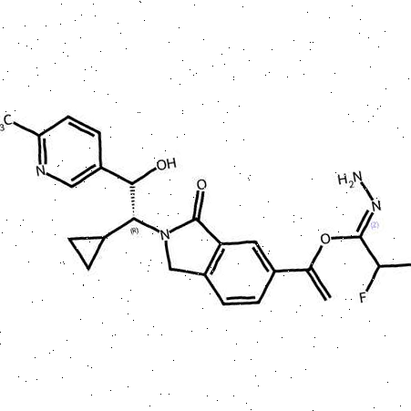 C=C(O/C(=N\N)C(C)F)c1ccc2c(c1)C(=O)N([C@H](C1CC1)C(O)c1ccc(C(F)(F)F)nc1)C2